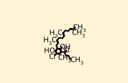 CCCCC(=O)c1c(C)c(Cl)c(O)c(C/C=C(\C)CC/C=C(\C)CCC=C(C)C)c1O